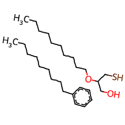 CCCCCCCCCCOC(CO)CS.CCCCCCCCCc1ccccc1